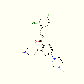 CN1CCN(c2ccc(C(=O)C=Cc3ccc(Cl)cc3Cl)c(N3CCN(C)CC3)c2)CC1